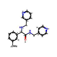 COc1cccc(C(NCc2cccnc2)C(=O)NCc2ccncc2)c1